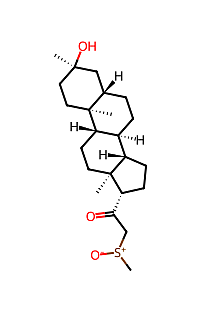 C[S+]([O-])CC(=O)[C@H]1CC[C@H]2[C@@H]3CC[C@H]4C[C@](C)(O)CC[C@]4(C)[C@H]3CC[C@]12C